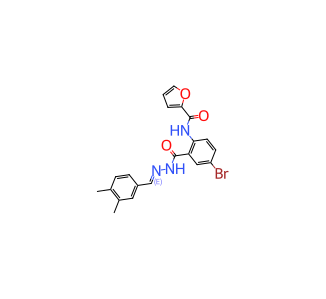 Cc1ccc(/C=N/NC(=O)c2cc(Br)ccc2NC(=O)c2ccco2)cc1C